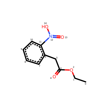 CCOC(=O)Cc1ccccc1[N+](=O)O